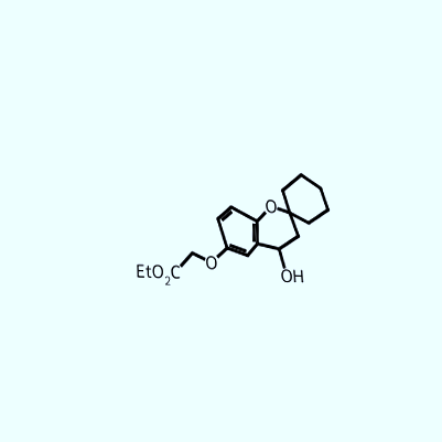 CCOC(=O)COc1ccc2c(c1)C(O)CC1(CCCCC1)O2